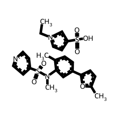 CCn1ccc(S(=O)(=O)O)c1.Cc1ccc(-c2ccc(C)c(N(C)S(=O)(=O)c3ccncc3)c2)o1